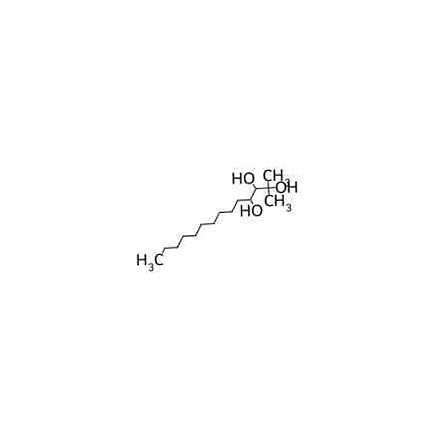 CCCCCCCCCCC(O)C(O)C(C)(C)O